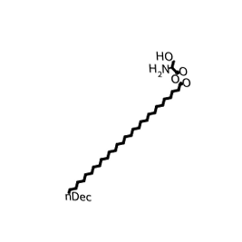 CCCCCCCCCCCCCCCCCCCCCCCCCCCCCCCCCCCCCCC(=O)OC(=O)[C@@H](N)CO